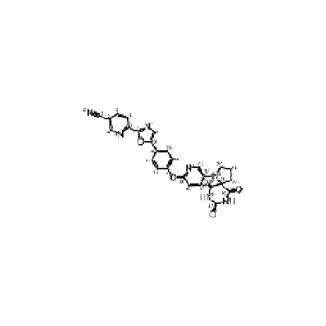 N#Cc1ccc(-c2ncc(-c3ccc(Oc4ccc(N5CCCC56C(=O)NC(=O)NC6=O)cn4)cc3)o2)nc1